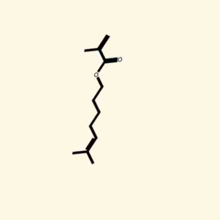 C=C(C)C(=O)OCCCCC=C(C)C